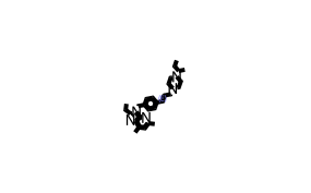 CCc1nc2c(C)cc(C)nc2n1Cc1ccc(/C=C/CN2CCN(C(C)CC)CC2)cc1